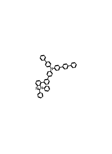 c1ccc(-c2ccc(-c3ccc(N(c4ccc(-c5ccccc5)cc4)c4ccc(-c5cccc(-c6cccc7nc(-c8ccccc8)n(-c8ccccc8)c67)c5)cc4)cc3)cc2)cc1